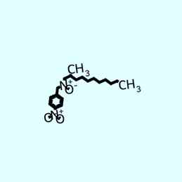 CCCCCCCCCC(C)C=[N+]([O-])Cc1ccc([N+](=O)[O-])cc1